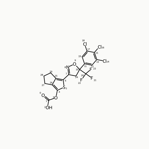 O=C(O)Oc1sc(C2=NOC(c3cc(Cl)c(Cl)c(Cl)c3)(C(F)(F)F)C2)c2c1CCC2